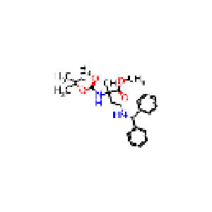 COC(=O)C(C)(CCNC(c1ccccc1)c1ccccc1)NC(=O)OC(C)(C)C